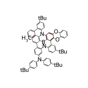 Cc1cc2c3c(c1)N(c1ccc(C(C)(C)C)cc1-c1ccccc1)c1cc4c(cc1B3N(c1ccc(C(C)(C)C)cc1-c1ccccc1)c1cc(N(c3ccc(C(C)(C)C)cc3)c3ccc(C(C)(C)C)cc3)ccc1-2)Oc1ccccc1O4